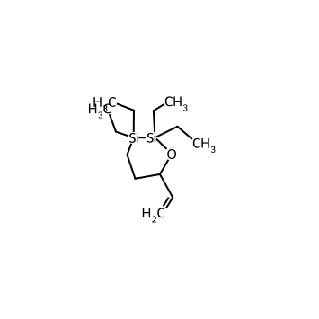 C=CC1CC[Si](CC)(CC)[Si](CC)(CC)O1